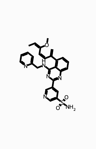 C=C(/C=C\C(=C/C)OC)c1cccc2nc(-c3cncc(S(N)(=O)=O)c3)nc(NCc3ccccn3)c12